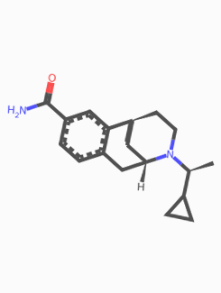 C[C@@H](C1CC1)N1CC[C@]23CCCCC2[C@H]1Cc1ccc(C(N)=O)cc13